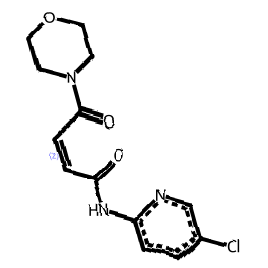 O=C(/C=C\C(=O)N1CCOCC1)Nc1ccc(Cl)cn1